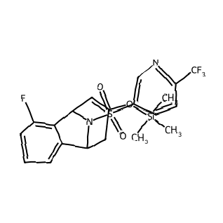 C[Si](C)(C)OC1=CC2c3c(F)cccc3C(C1)N2S(=O)(=O)c1ccc(C(F)(F)F)nc1